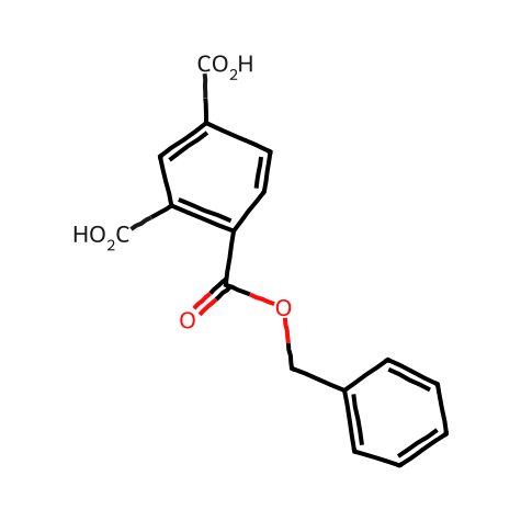 O=C(O)c1ccc(C(=O)OCc2ccccc2)c(C(=O)O)c1